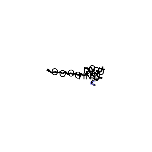 C#CCOCCOCCOCCOCCC(=O)N[C@H]([C@H]1[C@H](/C=C\C)CC(C)N1C(=O)OC(C)(C)C)[C@](C)(CCC)OC